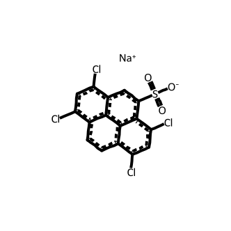 O=S(=O)([O-])c1cc2c(Cl)cc(Cl)c3ccc4c(Cl)cc(Cl)c1c4c32.[Na+]